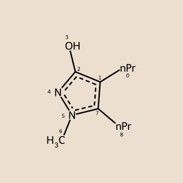 CCCc1c(O)nn(C)c1CCC